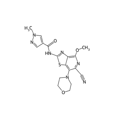 COc1nc(C#N)c(N2CCOCC2)c2sc(NC(=O)c3cnn(C)c3)nc12